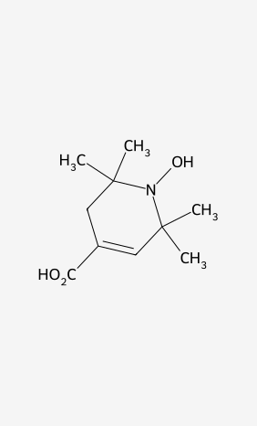 CC1(C)C=C(C(=O)O)CC(C)(C)N1O